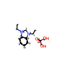 CCN1CN(CC)c2ccccc21.O=C(O)O